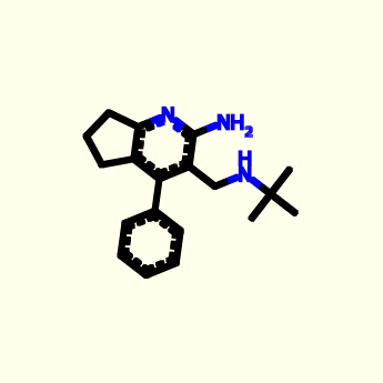 CC(C)(C)NCc1c(N)nc2c(c1-c1ccccc1)CCC2